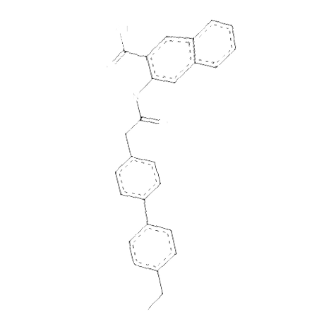 CCc1ccc(-c2ccc(CC(=O)Nc3cc4ccccc4cc3C(=O)O)cc2)cc1